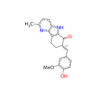 COc1cc(/C=C2\CCc3c([nH]c4ccc(C)nc34)C2=O)ccc1O